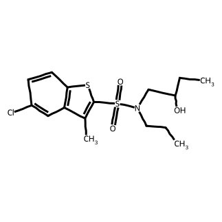 CCCN(CC(O)CC)S(=O)(=O)c1sc2ccc(Cl)cc2c1C